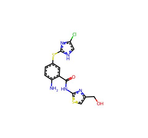 Nc1ccc(Sc2nc(Cl)c[nH]2)cc1C(=O)Nc1nc(CO)cs1